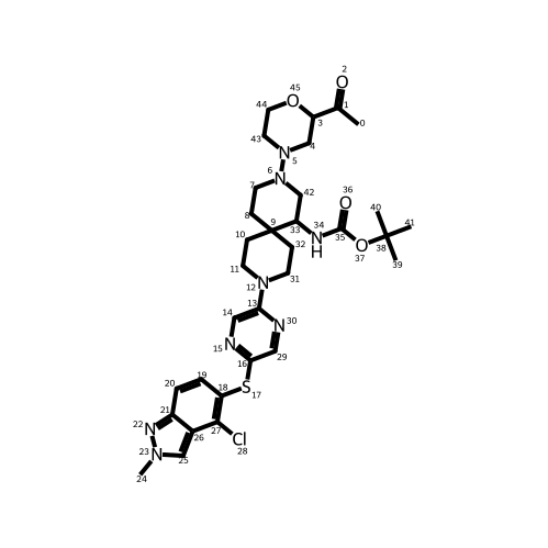 CC(=O)C1CN(N2CCC3(CCN(c4cnc(Sc5ccc6nn(C)cc6c5Cl)cn4)CC3)C(NC(=O)OC(C)(C)C)C2)CCO1